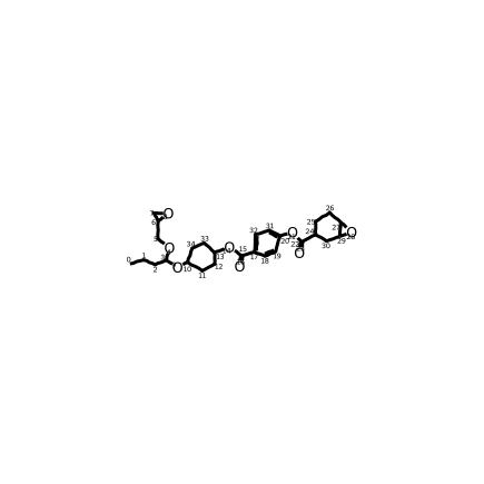 CCCC(OCC1CO1)OC1CCC(OC(=O)c2ccc(OC(=O)C3CCC4OC4C3)cc2)CC1